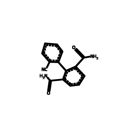 N#Cc1ccccc1-c1c(C(N)=O)cccc1C(N)=O